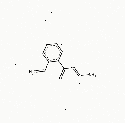 C=Cc1ccccc1C(=O)/C=C/C